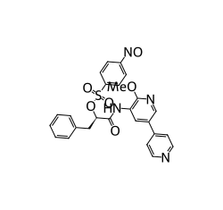 COc1ncc(-c2ccncc2)cc1NC(=O)[C@@H](Cc1ccccc1)OS(=O)(=O)c1ccc(N=O)cc1